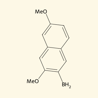 Bc1cc2ccc(OC)cc2cc1OC